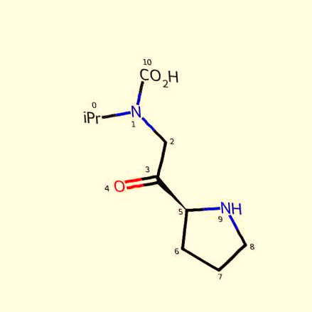 CC(C)N(CC(=O)[C@@H]1CCCN1)C(=O)O